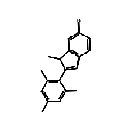 Cc1cc(C)c(C2=Cc3ccc(Br)cc3C2C)c(C)c1